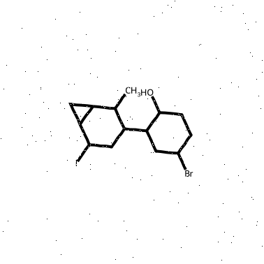 CC1C(C2CC(Br)CCC2O)CC(I)C2CC12